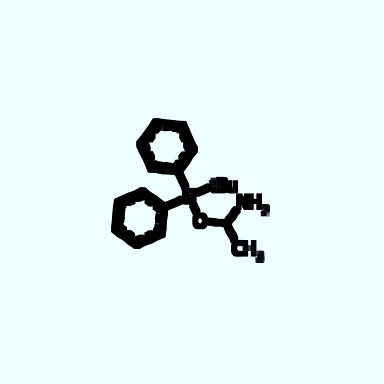 CC(N)O[Si](c1ccccc1)(c1ccccc1)C(C)(C)C